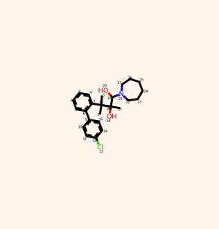 CC(C)(c1ccccc1-c1ccc(Cl)cc1)C(C)(O)C(O)N1CCCCCC1